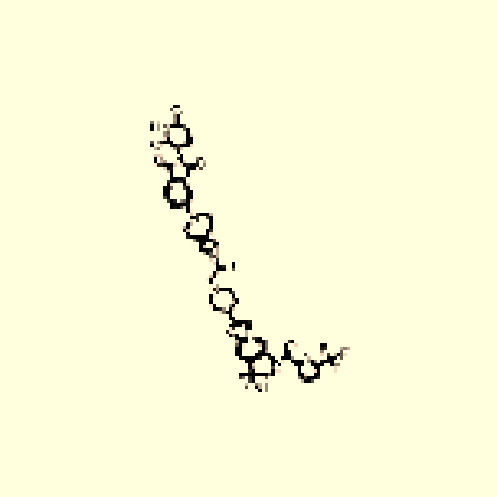 CC(C)(O)c1cc2nc(C3CCN(CC(=O)N4CC5(CCN(c6ccc7c(c6)C(=O)N(C6CCC(=O)NC6=O)C7=O)CC5)C4)CC3)cn2cc1NC(=O)c1cccc(C(F)(F)F)n1